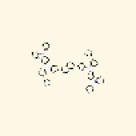 c1ccc(-n2c3ccccc3c3cc(N(c4ccc5c(c4)sc4c5ccc5c4ccc4c6ccc(N(c7ccc8c(c7)c7ccccc7n8-c7ccccc7)c7cccc8c7sc7ccccc78)cc6sc45)c4cccc5c4sc4ccccc45)ccc32)cc1